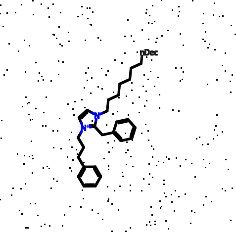 CCCCCCCCCCCCCCCCCn1cc[n+](CCCc2ccccc2)c1Cc1ccccc1